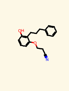 N#CCCOc1cccc(O)c1CCCc1ccccc1